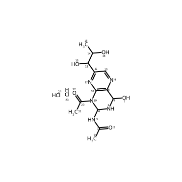 CC(=O)NC1NC(O)c2ncc(C(O)C(C)O)nc2N1C(C)=O.Cl.Cl